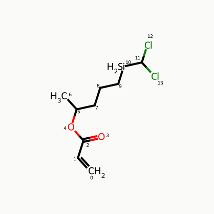 C=CC(=O)OC(C)CCC[SiH2]C(Cl)Cl